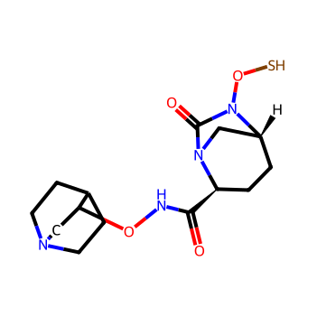 O=C(NOC1CN2CCC1CC2)[C@@H]1CC[C@@H]2CN1C(=O)N2OS